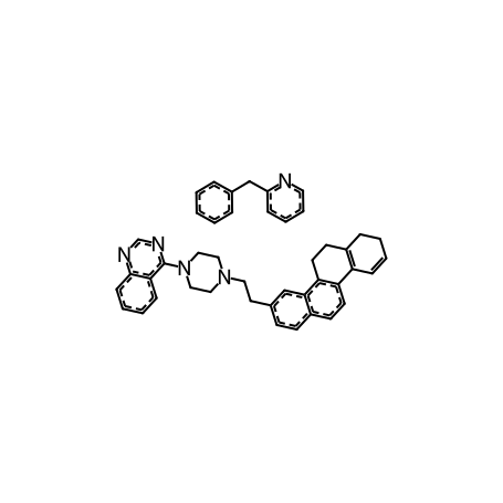 C1=CC2=C(CC1)CCc1c2ccc2ccc(CCN3CCN(c4ncnc5ccccc45)CC3)cc12.c1ccc(Cc2ccccn2)cc1